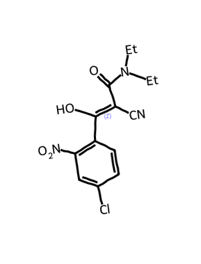 CCN(CC)C(=O)/C(C#N)=C(\O)c1ccc(Cl)cc1[N+](=O)[O-]